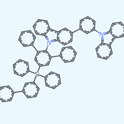 c1ccc(-c2cccc([Si](c3ccccc3)(c3ccccc3)c3cc(-c4ccccc4)c(-n4c5ccccc5c5cc(-c6cccc(-n7c8ccccc8c8ccccc87)c6)ccc54)c(-c4ccccc4)c3)c2)cc1